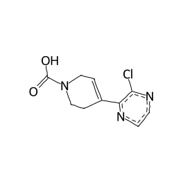 O=C(O)N1CC=C(c2nccnc2Cl)CC1